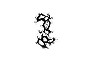 CN1c2c3c(c4c(c2N2CC5=C(CC6C(=C5)C(C)(C)c5ccccc56)C12)CCC=C4)C=CCC3